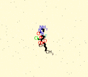 CCCCCC(=O)O[C@H]1[C@@H](F)[C@H](n2ccc(N)nc2=O)O[C@]1(CCl)COC